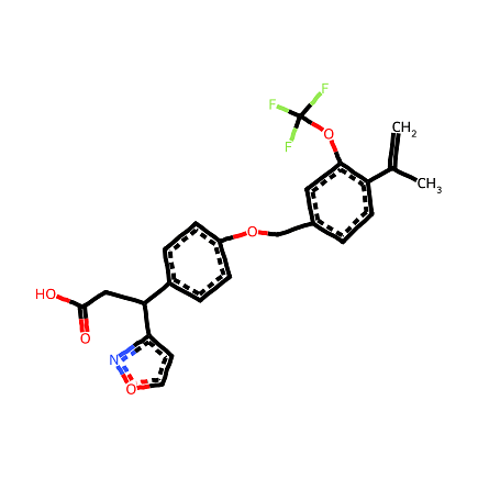 C=C(C)c1ccc(COc2ccc(C(CC(=O)O)c3ccon3)cc2)cc1OC(F)(F)F